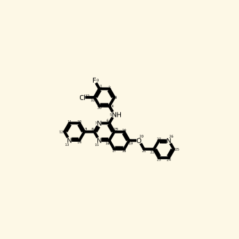 Fc1ccc(Nc2nc(-c3cccnc3)nc3ccc(OCc4cccnc4)cc23)cc1Cl